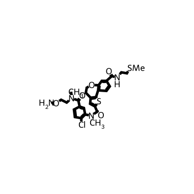 CSCCNC(=O)c1ccc2c(c1)OCCc1cc(C(=O)N(C)c3cc(C(=O)N(C)CCON)ccc3Cl)sc1-2